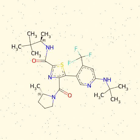 C[C@H]1CCCN1C(=O)c1nc(C(=O)N[C@H](C)C(C)(C)C)sc1-c1cnc(NC(C)(C)C)cc1C(F)(F)F